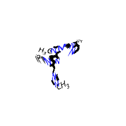 CC(C)c1cn(CCN2CCN(C)C(c3cnc4c(CCN5CCN(C)CC5)cn(C(C)C)c4c3)C2)c2ncccc12